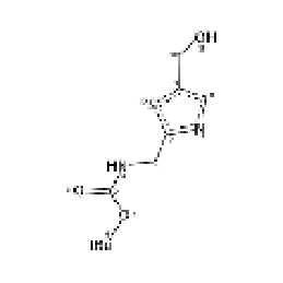 CC(C)(C)OC(=O)NCc1ncc(CO)s1